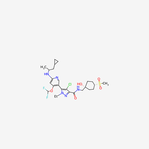 CCn1nc(C(=O)NC[C@]2(O)CC[C@@H](S(C)(=O)=O)CC2)c(Cl)c1-c1cnc(NC(C)CC2CC2)cc1OC(F)F